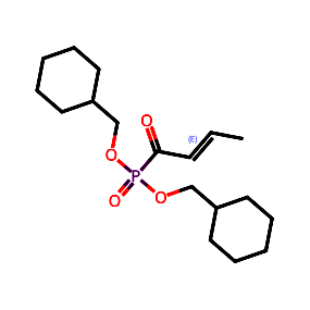 C/C=C/C(=O)P(=O)(OCC1CCCCC1)OCC1CCCCC1